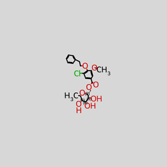 COc1cc(C(=O)OC[C@H]2OC(C)[C@H](O)[C@@H](O)[C@@H]2O)cc(Cl)c1OCCc1ccccc1